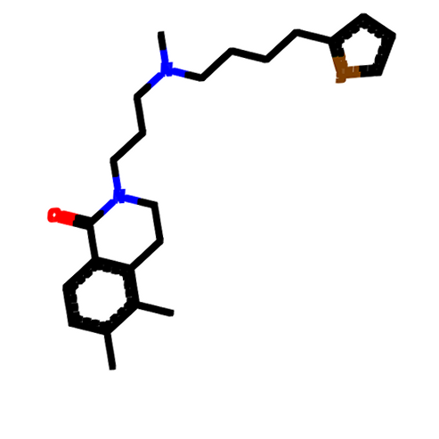 Cc1ccc2c(c1C)CCN(CCCN(C)CCCCc1cccs1)C2=O